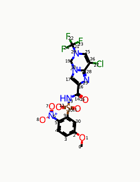 COc1ccc([N+](=O)[O-])c(S(=O)(=O)NC(=O)C2=C[N+]3CN(C(F)(F)F)C=C(Cl)C3=N2)c1